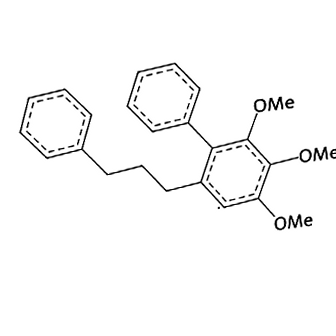 COc1[c]c(CCCc2ccccc2)c(-c2ccccc2)c(OC)c1OC